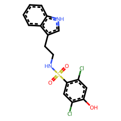 O=S(=O)(NCCc1c[nH]c2ccccc12)c1cc(Cl)c(O)cc1Cl